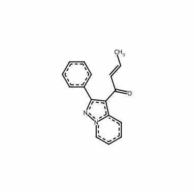 CC=CC(=O)c1c(-c2ccccc2)nn2ccccc12